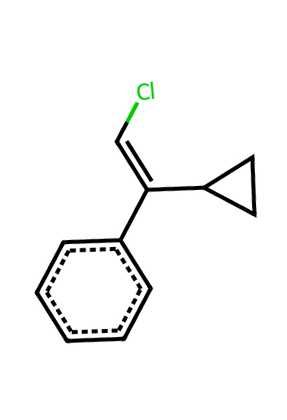 ClC=C(c1ccccc1)C1CC1